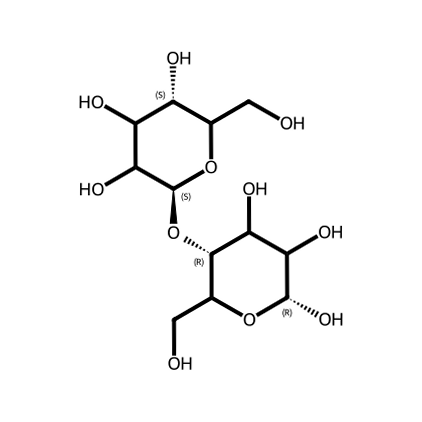 OCC1O[C@@H](O[C@H]2C(CO)O[C@@H](O)C(O)C2O)C(O)C(O)[C@@H]1O